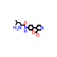 CC(C)CC(N)C(=O)Nc1ccc2c(c1)oc(=O)c1cnccc12